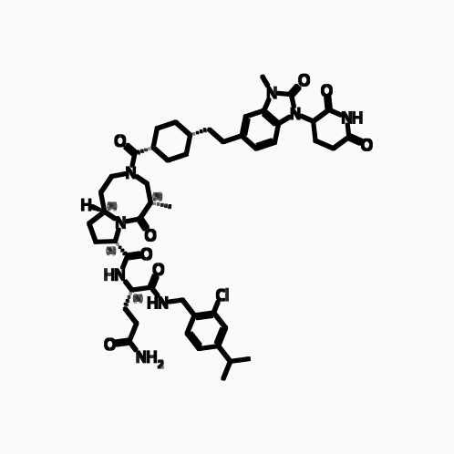 CC(C)c1ccc(CNC(=O)[C@H](CCC(N)=O)NC(=O)[C@@H]2CC[C@@H]3CCN(C(=O)[C@H]4CC[C@@H](CCc5ccc6c(c5)n(C)c(=O)n6C5CCC(=O)NC5=O)CC4)C[C@H](C)C(=O)N32)c(Cl)c1